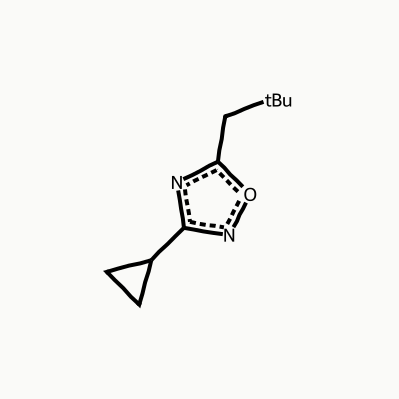 CC(C)(C)Cc1nc(C2CC2)no1